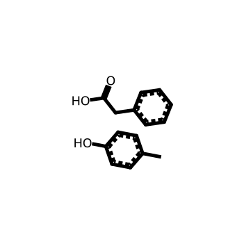 Cc1ccc(O)cc1.O=C(O)Cc1ccccc1